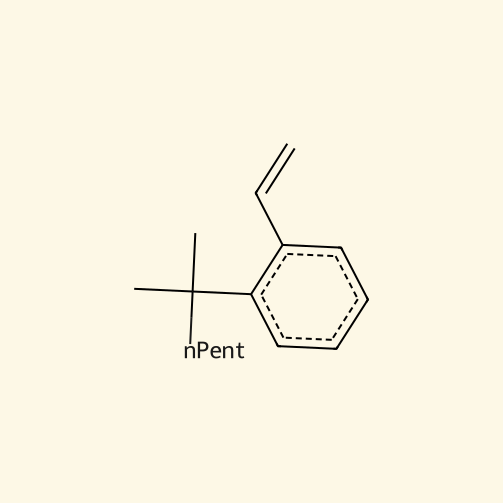 C=Cc1ccccc1C(C)(C)CCCCC